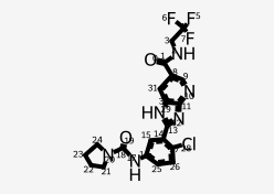 O=C(NCC(F)(F)F)c1cnc2nc(-c3cc(NC(=O)N4CCCC4)ccc3Cl)[nH]c2c1